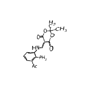 CC(=O)c1cccc(NC=C2C(=O)OC(C)(C)OC2=O)c1P